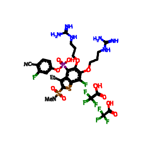 CCc1c(S(=O)(=O)NC)sc2c(F)c(OCCCNC(=N)N)c(OCCCNC(=N)N)c(P(=O)(O)Oc3ccc(C#N)c(F)c3)c12.O=C(O)C(F)(F)F.O=C(O)C(F)(F)F